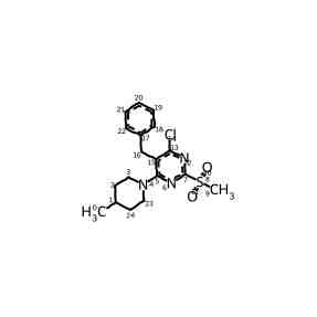 CC1CCN(c2nc(S(C)(=O)=O)nc(Cl)c2Cc2ccccc2)CC1